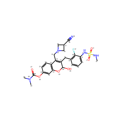 CNS(=O)(=O)Nc1cccc(CC2=C(CN3CC(C#N)C3)c3ccc(OC(=O)N(C)C)cc3OC2O)c1F